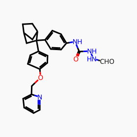 O=CNNC(=O)Nc1ccc(C2(c3ccc(OCc4ccccn4)cc3)CC3CCC2C3)cc1